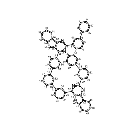 c1ccc(-c2cccc(-c3nc(-c4ccc(-c5cccc(-c6cccc(-c7nc(-c8cccc(-c9ccccc9)c8)nc8c7sc7ccccc78)c6)c5)cc4)c4sc5ccccc5c4n3)c2)cc1